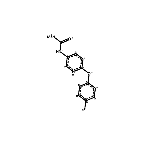 CNC(=O)Nc1ccc(Oc2ccc(C)cc2)nc1